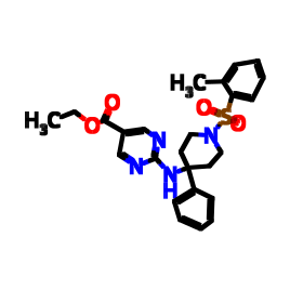 CCOC(=O)c1cnc(NC2(c3ccccc3)CCN(S(=O)(=O)c3ccccc3C)CC2)nc1